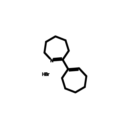 Br.C1=C(C2=NCCCCC2)CCCCC1